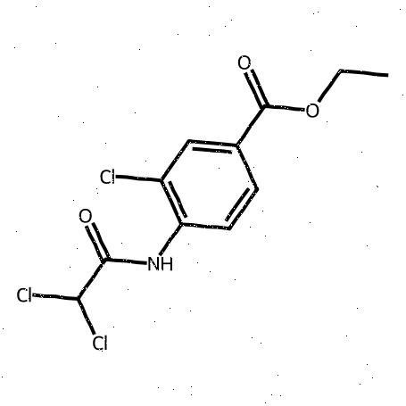 CCOC(=O)c1ccc(NC(=O)C(Cl)Cl)c(Cl)c1